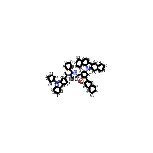 CCC(C)C(/N=C(\C(C)=C(/C)c1ccc2c3ccccc3n(-c3ccccc3)c2c1)c1ccccc1)c1cc(-n2c3cc4ccccc4cc3c3ccc4ccccc4c32)cc2c1oc1cc3ccccc3cc12